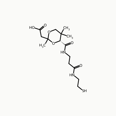 CC1(CC(=O)O)OCC(C)(C)[C@H](C(=O)NCCC(=O)NCCS)O1